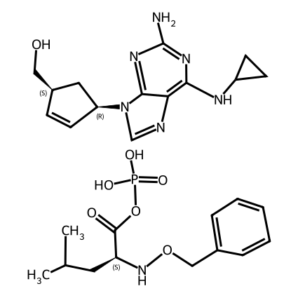 CC(C)C[C@H](NOCc1ccccc1)C(=O)OP(=O)(O)O.Nc1nc(NC2CC2)c2ncn([C@H]3C=C[C@@H](CO)C3)c2n1